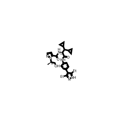 CCc1n[nH]c(CC)c1-c1ccc(NC(=O)[C@@H](NC(=O)c2ccnn2[C@H](C)CO)C(C2CC2)C2CC2)cc1